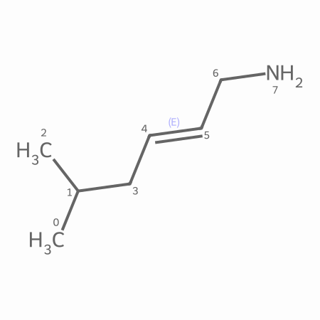 CC(C)C/C=C/CN